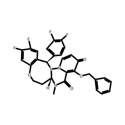 CN1C(=O)c2c(OCc3ccccc3)c(=O)ccn2N2[C@H](c3ccc(F)c(F)c3)c3cc(F)c(F)cc3OCC[C@@H]12